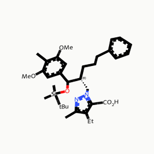 CCc1c(C)nn(C[C@@H](CCCc2ccccc2)C(O[Si](C)(C)C(C)(C)C)c2cc(OC)c(C)c(OC)c2)c1C(=O)O